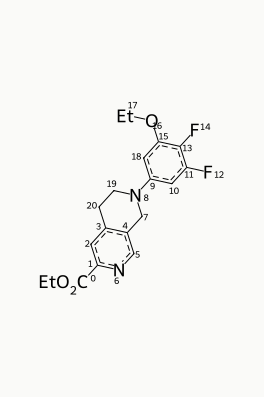 CCOC(=O)c1cc2c(cn1)CN(c1cc(F)c(F)c(OCC)c1)CC2